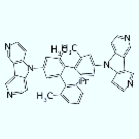 Cc1cc(-n2c3ccncc3c3cnccc32)ccc1-c1c(C)cc(-n2c3ccncc3c3cnccc32)cc1-c1c(C)cccc1C(C)C